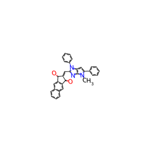 Cn1c(-c2ccccc2)cc2c1nc(C=C1C(=O)c3cc4ccccc4cc3C1=O)n2-c1ccccc1